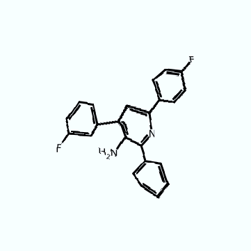 Nc1c(-c2cccc(F)c2)cc(-c2ccc(F)cc2)nc1-c1ccccc1